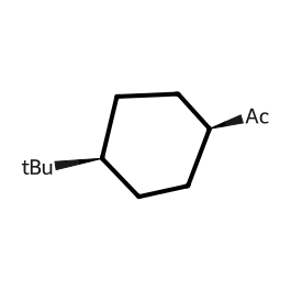 CC(=O)[C@H]1CC[C@@H](C(C)(C)C)CC1